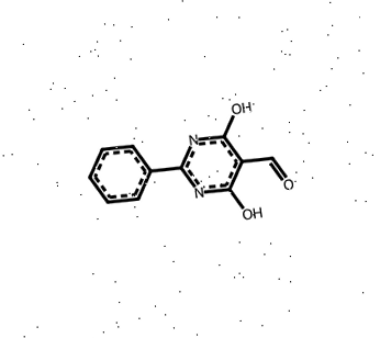 O=Cc1c(O)nc(-c2ccccc2)nc1O